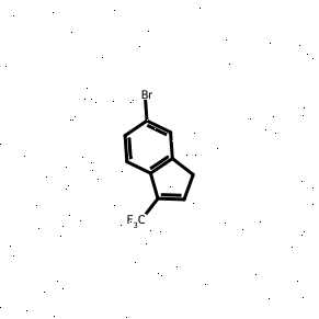 FC(F)(F)C1=CCc2cc(Br)ccc21